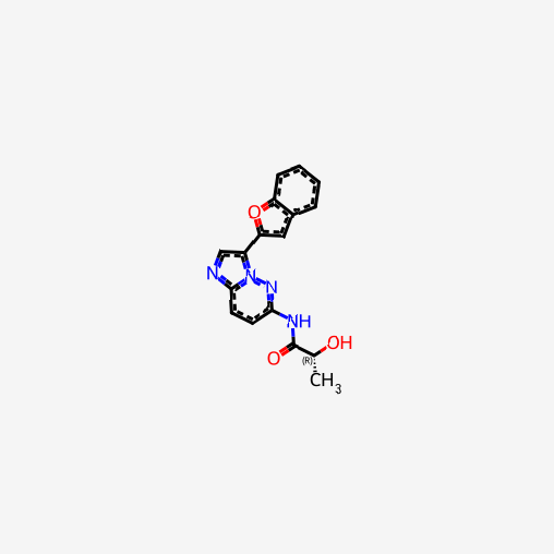 C[C@@H](O)C(=O)Nc1ccc2ncc(-c3cc4ccccc4o3)n2n1